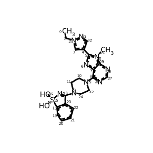 CCn1cc(-c2nc3c(N4CCN(C5=NS(O)(O)c6ccccc65)CC4)ncnc3n2C)cn1